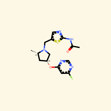 CC(=O)Nc1ncc(CN2C[C@H](Oc3cc(F)ncn3)C[C@@H]2C)s1